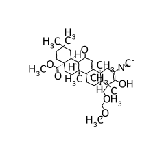 [C-]#[N+]C1=C(O)[C@](C)(COCOC)[C@@H]2CC[C@]3(C)C(=CC(=O)[C@@H]4[C@@H]5CC(C)(C)CC[C@]5(C(=O)OC)CC[C@]43C)[C@@]2(C)C1